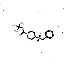 CC(C)(C)OC(=O)N1CCC(S(=O)(=O)Cc2ccccc2)CC1